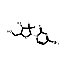 Nc1ccn([C@@H]2SC(CO)[C@@H](O)C2(F)F)c(=O)n1